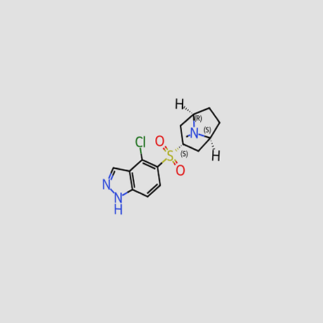 CN1[C@@H]2CC[C@H]1C[C@H](S(=O)(=O)c1ccc3[nH]ncc3c1Cl)C2